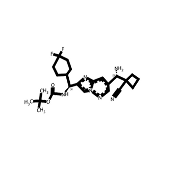 CC(C)(C)OC(=O)N[C@H](c1cn2ncc([C@H](N)C3(C#N)CCC3)cc2n1)C1CCC(F)(F)CC1